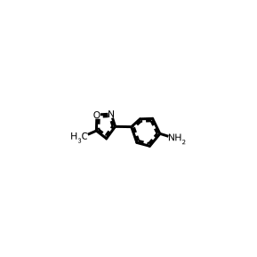 Cc1cc(-c2ccc(N)cc2)no1